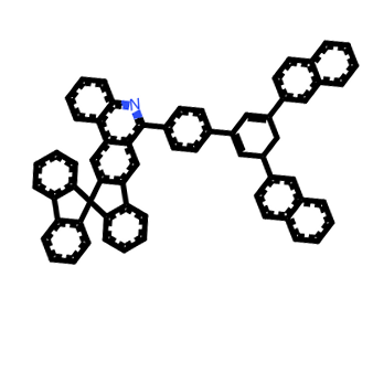 C1=C(c2ccc(-c3nc4ccccc4c4cc5c(cc34)-c3ccccc3C53c4ccccc4-c4ccccc43)cc2)C=C(c2ccc3ccccc3c2)CC1c1ccc2ccccc2c1